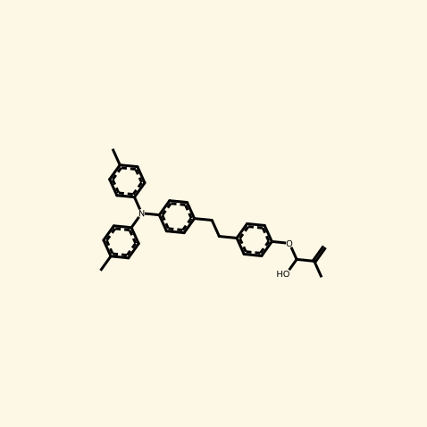 C=C(C)C(O)Oc1ccc(CCc2ccc(N(c3ccc(C)cc3)c3ccc(C)cc3)cc2)cc1